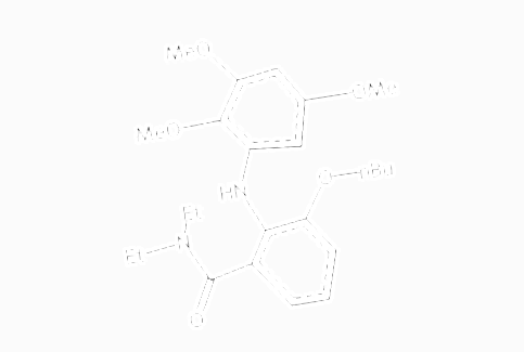 CCCCOc1cccc(C(=O)N(CC)CC)c1Nc1cc(OC)cc(OC)c1OC